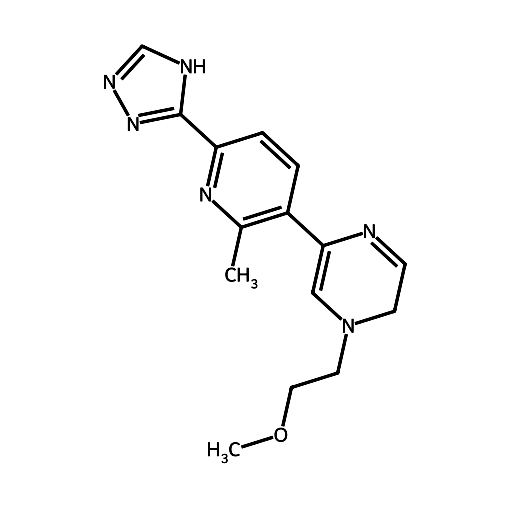 COCCN1C=C(c2ccc(-c3nnc[nH]3)nc2C)N=CC1